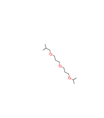 CC(C)COCCCOCCCOC(C)C